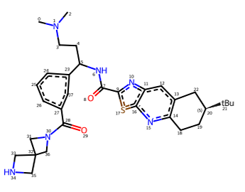 CN(C)CCC(NC(=O)c1nc2cc3c(nc2s1)CC[C@H](C(C)(C)C)C3)c1cccc(C(=O)N2CC3(CNC3)C2)c1